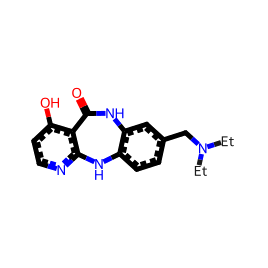 CCN(CC)Cc1ccc2c(c1)NC(=O)c1c(O)ccnc1N2